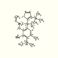 C=CCOc1c([Si](C)(C)C2=C([Si](C)(C)C)C=CC2)cc(C)c([SiH](C)C)c1C(C)(C)C